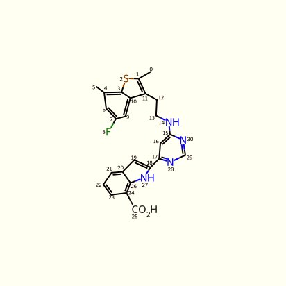 Cc1sc2c(C)cc(F)cc2c1CCNc1cc(-c2cc3cccc(C(=O)O)c3[nH]2)ncn1